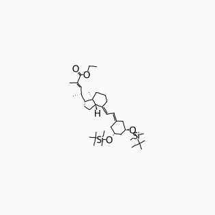 CCOC(=O)/C(C)=C/[C@@H](C)[C@H]1CC[C@H]2/C(=C/C=C3C[C@@H](O[Si](C)(C)C(C)(C)C)C[C@H](O[Si](C)(C)C(C)(C)C)C3)CCC[C@]12C